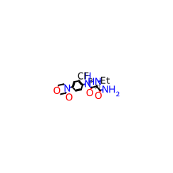 CCN[C@H](C(N)=O)C(=O)Nc1ccc(N2CCOCC2=O)cc1C(F)(F)F